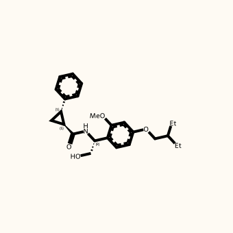 CCC(CC)COc1ccc([C@H](CO)NC(=O)[C@H]2C[C@@H]2c2ccccc2)c(OC)c1